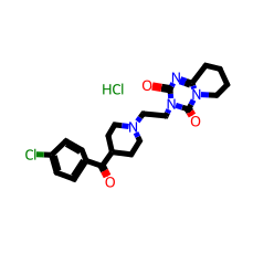 Cl.O=C(c1ccc(Cl)cc1)C1CCN(CCn2c(=O)nc3n(c2=O)CCCC3)CC1